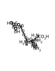 C=N/C=C(/CO[C@@H]1[C@H](O)[C@@H](C[C@@H](N)CC[C@H](N)C(=O)O)O[C@H]1n1cnc2c(N)ncnc21)N(N)CCOCCOCCOCCNC(=O)c1ccc(C(=O)O)c(-c2c3ccc(=O)cc-3oc3cc(O)ccc23)c1